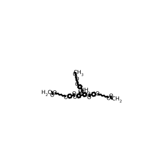 C=CC(=O)OCCCCCCOC1CCC(C(=O)Oc2ccc3c(c2)nc(Nc2ccc(OCCOCCOC)cc2)c2cc(OC(=O)C4CCC(OCCCCCCOC(=O)C=C)CC4)ccc23)CC1